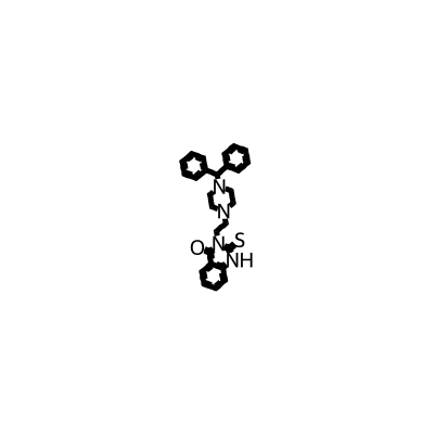 O=c1c2ccccc2[nH]c(=S)n1CCN1CCN(C(c2ccccc2)c2ccccc2)CC1